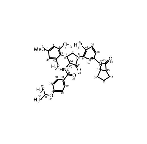 COc1cc(C)c([C@@H]2CN(c3nc(N4C(=O)C5CCCC54)ccc3P)C(=O)[C@H]2NC(=O)c2ccc(OC(P)P)cc2)c(P)c1